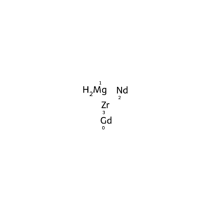 [Gd].[MgH2].[Nd].[Zr]